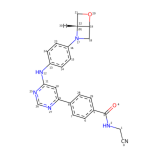 N#CCNC(=O)c1ccc(-c2cc(Nc3ccc(N4CC5OC[C@H]54)cc3)ncn2)cc1